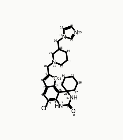 O=C1Nc2c(Cl)cc3cc(CN4CCCC(Cn5ccnc5)C4)oc3c2C2(CCCCC2)N1